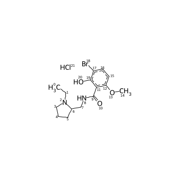 CCN1CCCC1CNC(=O)c1c(OC)ccc(Br)c1O.Cl